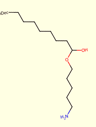 CCCCCCCCCCCCCCCCCC(O)OCCCCCN